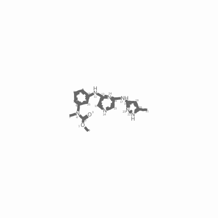 COC(=O)N(C)c1cccc(Nc2cncc(Nc3cc(C)[nH]n3)n2)c1